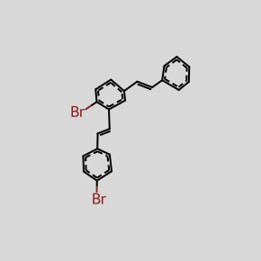 Brc1ccc(C=Cc2cc(C=Cc3ccccc3)ccc2Br)cc1